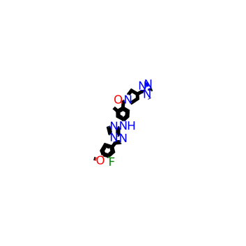 COc1ccc(-c2cnc3c(Nc4ccc(C(=O)N5CCC(c6nncn6C)CC5)c(C)c4)nccn23)cc1F